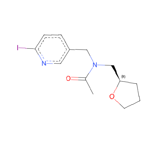 CC(=O)N(Cc1ccc(I)nc1)C[C@H]1CCCO1